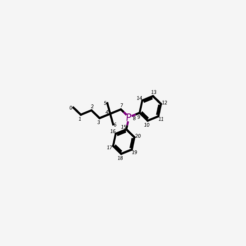 CCCCC(C)(C)CP(c1ccccc1)c1ccccc1